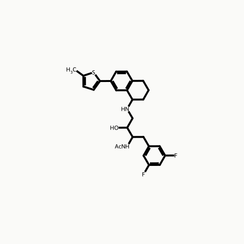 CC(=O)NC(Cc1cc(F)cc(F)c1)C(O)CNC1CCCc2ccc(-c3ccc(C)s3)cc21